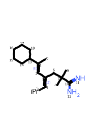 C/C(=C\C(=C/C(C)C)CC(C)(C)C(=N)N)C1CCCCC1